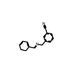 N#Cc1cccc(C/N=C/C2=CC=CCC2)c1